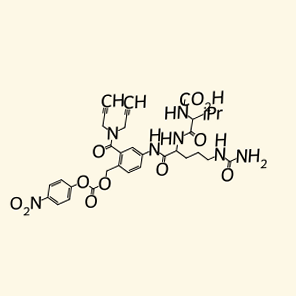 C#CCN(CC#C)C(=O)c1cc(NC(=O)C(CCCNC(N)=O)NC(=O)C(NC(=O)O)C(C)C)ccc1COC(=O)Oc1ccc([N+](=O)[O-])cc1